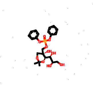 CC1(C)OC[C@@](O)(COP(=O)(Oc2ccccc2)Oc2ccccc2)[C@H]([C@H](O)[C@H](O)CO)O1